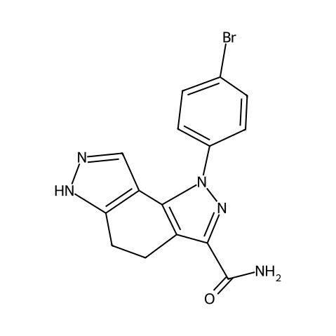 NC(=O)c1nn(-c2ccc(Br)cc2)c2c1CCc1[nH]ncc1-2